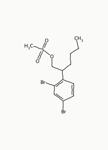 CCCCC(COS(C)(=O)=O)c1ccc(Br)cc1Br